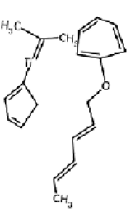 CC=CC=CCOc1ccccc1.C[C](C)=[Ti][C]1=CC=CC1